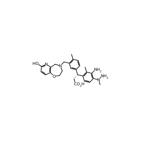 Cc1ccc([C@@H](CC(=O)O)c2ccc(N(C)N)c(N)c2C)cc1CN1CCOc2ccc(O)nc2C1